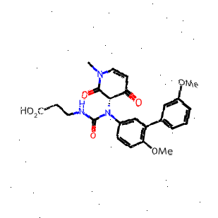 COc1cccc(-c2cc(N(C(=O)NCCC(=O)O)[C@H]3C(=O)C=CN(C)C3=O)ccc2OC)c1